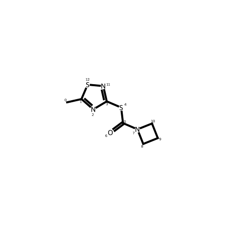 Cc1nc(SC(=O)N2CCC2)ns1